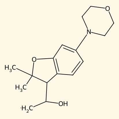 [CH2]C(O)C1c2ccc(N3CCOCC3)cc2OC1(C)C